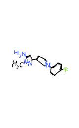 Cn1nc(C2CCN(c3ccc(F)cc3)C2)cc1N